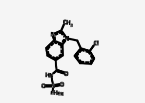 CCCCCCS(=O)(=O)NC(=O)c1ccc2nc(C)n(Cc3ccccc3Cl)c2c1